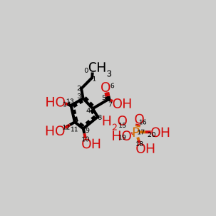 CCCc1c(C(=O)O)cc(O)c(O)c1O.O.O=P(O)(O)O